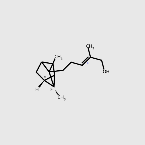 C/C(=C\CCC1(C)C2CC3[C@@H](C2)[C@]31C)CO